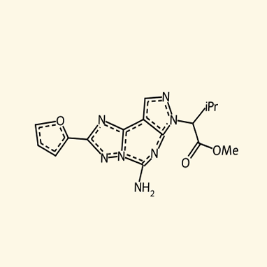 COC(=O)C(C(C)C)n1ncc2c1nc(N)n1nc(-c3ccco3)nc21